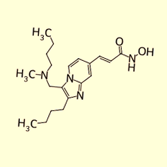 CCCCc1nc2cc(C=CC(=O)NO)ccn2c1CN(C)CCCC